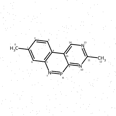 Cc1ccc2c(c1)npc1nc(C)ncc12